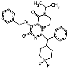 CC(C)N1CCn2c(C(c3ccccc3)C3CCC(F)(F)CC3)nc(=O)c(OCc3ccccc3)c2C1=O